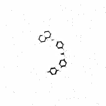 O=C(Nc1ccc(OC[C@@H]2CCCN3CCCC[C@H]23)cc1)Nc1ccc(Oc2ccc(F)cc2)cc1